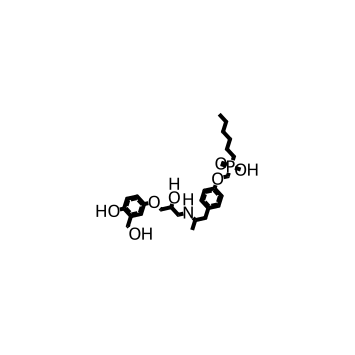 CCCCCCP(=O)(O)COc1ccc(CC(C)NCC(O)COc2ccc(O)c(CO)c2)cc1